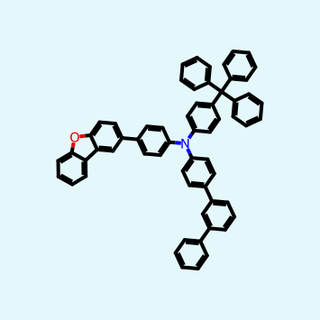 c1ccc(-c2cccc(-c3ccc(N(c4ccc(-c5ccc6oc7ccccc7c6c5)cc4)c4ccc(C(c5ccccc5)(c5ccccc5)c5ccccc5)cc4)cc3)c2)cc1